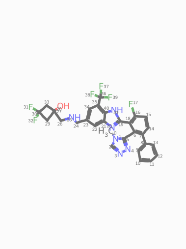 Cn1cnnc1-c1c(-c2ccccc2)ccc(F)c1-c1nc2cc(CNCC3(O)CC(F)(F)C3)cc(C(F)(F)F)c2[nH]1